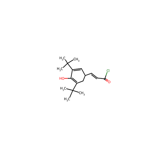 CC(C)(C)C1=CC(C=CC(=O)Cl)CC(C(C)(C)C)=C1O